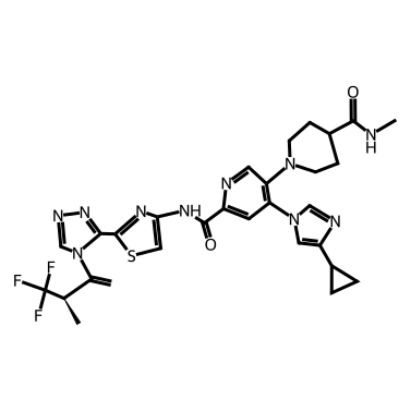 C=C([C@@H](C)C(F)(F)F)n1cnnc1-c1nc(NC(=O)c2cc(-n3cnc(C4CC4)c3)c(N3CCC(C(=O)NC)CC3)cn2)cs1